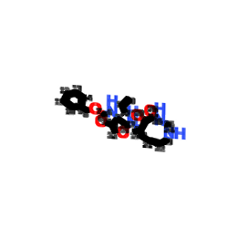 C=CC[C@](NC(=O)OCc1ccccc1)(C(=O)NC1(C)C/C=C\CNCNC(=O)C1=O)C(C)C